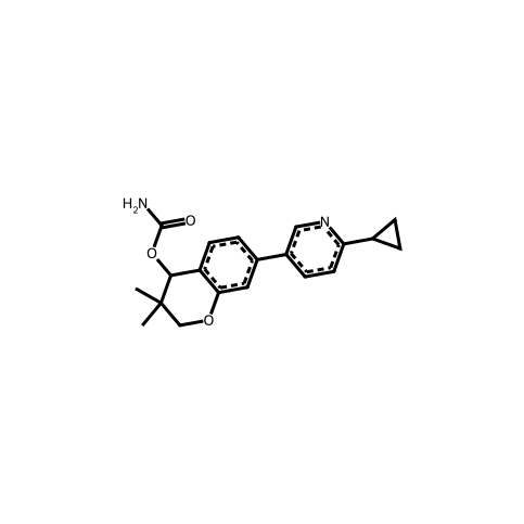 CC1(C)COc2cc(-c3ccc(C4CC4)nc3)ccc2C1OC(N)=O